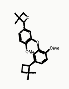 COc1ccc(C2CCC2(C)C)cc1Oc1cc(C2OCC2(C)C)ccc1OC